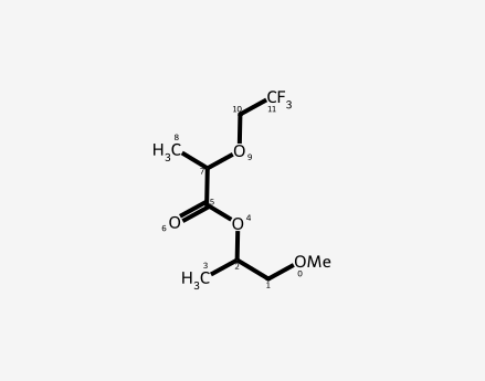 COCC(C)OC(=O)C(C)OCC(F)(F)F